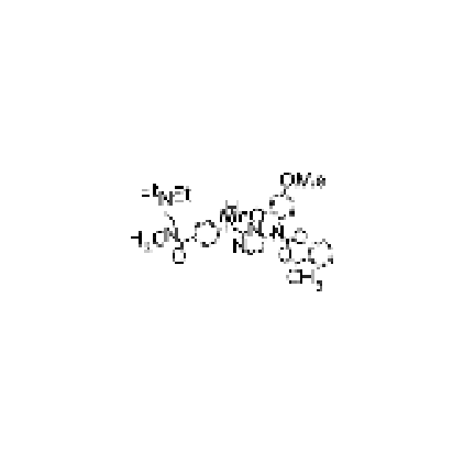 CCN(CC)CCN(C)C(=O)c1ccc(Nc2nccc(N(C(=O)OC(C)c3ccccc3)c3ccc(OC)cc3OC)n2)cc1